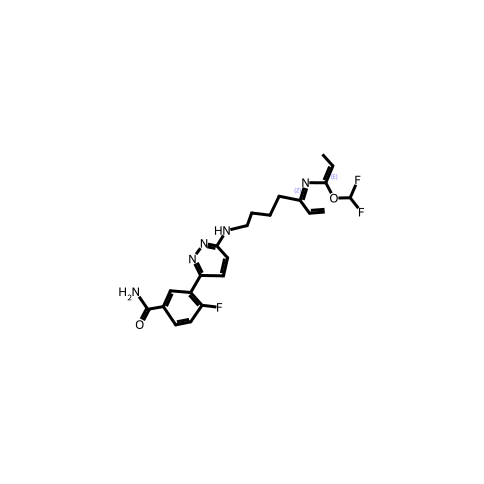 C=C/C(CCCCNc1ccc(-c2cc(C(N)=O)ccc2F)nn1)=N\C(=C/C)OC(F)F